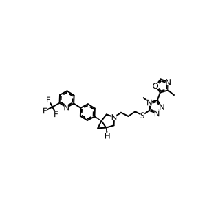 Cc1ncoc1-c1nnc(SCCCN2C[C@@H]3C[C@]3(c3ccc(-c4cccc(C(F)(F)F)n4)cc3)C2)n1C